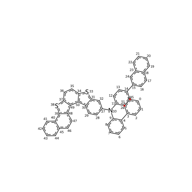 c1ccc(-c2ccccc2N(c2ccc(-c3ccc4ccccc4c3)cc2)c2ccc3c(c2)sc2ccc4sc5c6ccccc6ccc5c4c23)cc1